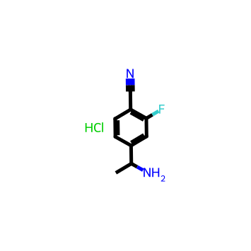 CC(N)c1ccc(C#N)c(F)c1.Cl